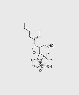 CC=C(CCCC)SC1CC=C[N+](CC)(O[PH](=O)O)C1(OC)c1ccco1.[OH-]